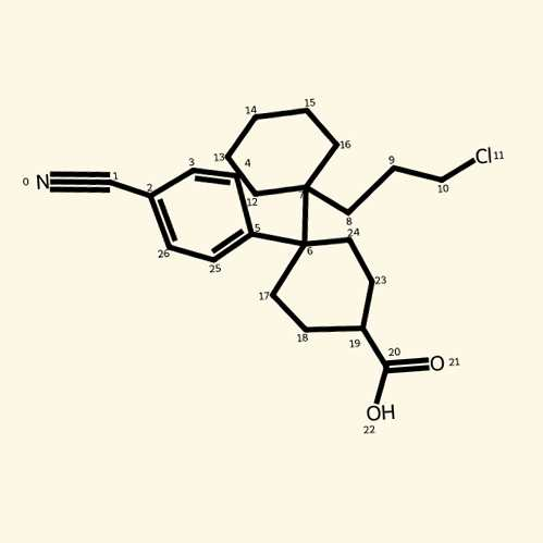 N#Cc1ccc(C2(C3(CCCCl)CCCCC3)CCC(C(=O)O)CC2)cc1